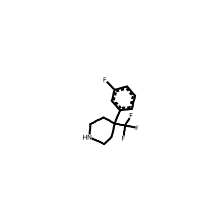 Fc1cccc(C2(C(F)(F)F)CCNCC2)c1